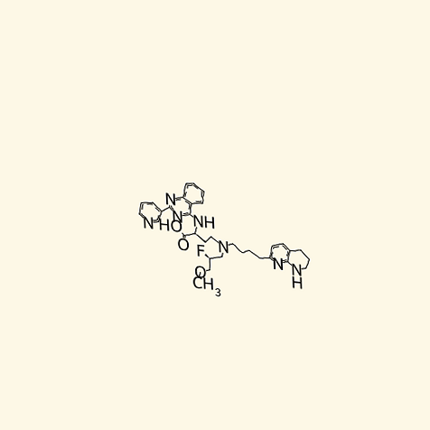 COC[C@@H](F)CN(CCCCc1ccc2c(n1)NCCC2)CC[C@H](Nc1nc(-c2cccnc2)nc2ccccc12)C(=O)O